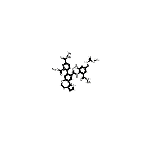 CCCNC(=O)c1ccc(-c2cc3c(cc2C(=O)Nc2c(C)cc(CNC(=O)OC(C)(C)C)cc2C(=O)NCCC)-c2sccc2CCO3)c(C(=O)OC)n1